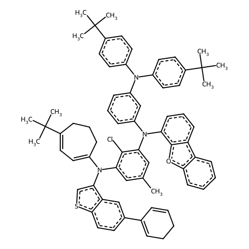 Cc1cc(N(C2=CC=C(C(C)(C)C)CCC2)c2csc3ccc(C4=CCCC=C4)cc23)c(Cl)c(N(c2cccc(N(c3ccc(C(C)(C)C)cc3)c3ccc(C(C)(C)C)cc3)c2)c2cccc3c2oc2ccccc23)c1